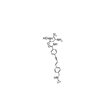 C[C@@H](N)[C@H](NC(=O)c1ccc(C#C/C=C/c2ccc(CNC3CC3)cc2)cc1)C(=O)NO